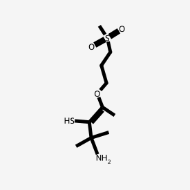 C/C(OCCCS(C)(=O)=O)=C(/S)C(C)(C)N